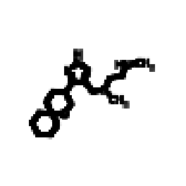 CNCCN(C)Cc1c[nH]nc1C1CCC2(CCCCC2)OC1